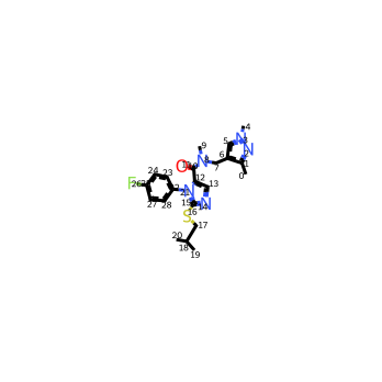 Cc1nn(C)cc1CN(C)C(=O)c1cnc(SCC(C)C)n1-c1ccc(F)cc1